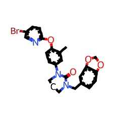 Cc1cc(N2CCCN(Cc3ccc4c(c3)OCO4)C2=O)ccc1Oc1ccc(Br)cn1